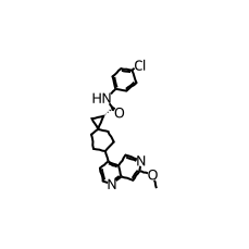 COc1cc2nccc(C3CCC4(CC3)C[C@@H]4C(=O)Nc3ccc(Cl)cc3)c2cn1